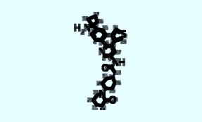 NC1(c2ccc(-c3ncc(NC(=O)C[C@H]4CC[C@H](N5CCCCC5=O)CC4)cc3-c3ccsc3)cc2)CCC1